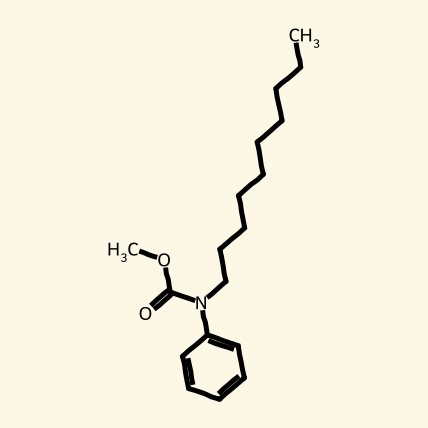 CCCCCCCCCCN(C(=O)OC)c1ccccc1